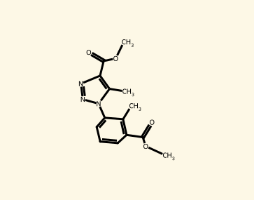 COC(=O)c1cccc(-n2nnc(C(=O)OC)c2C)c1C